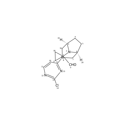 O=CC1(N2[C@@H]3CC[C@H]2CN(c2ccnc(Cl)n2)C3)CC1